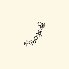 O=C(Oc1ccc(Oc2ccc(C(F)(F)F)cn2)cc1)N1CCC(n2nnc3ccccc32)CC1